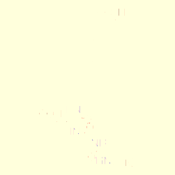 O=CNCC(=O)NCC(=O)N[C@@H](CC(=O)O)C(=O)NCCCCCCCCCCCCCC(=O)O